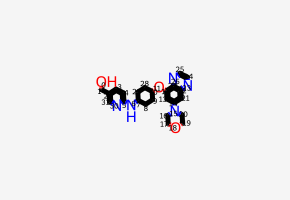 OCc1ccc(NC2CCC(Oc3cc(N4CCOCC4)cc4nccnc34)CC2)nc1